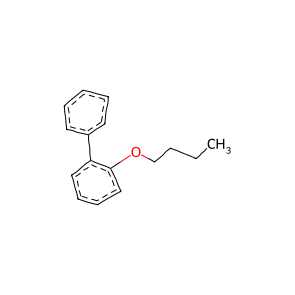 CCCCOc1ccccc1-c1ccccc1